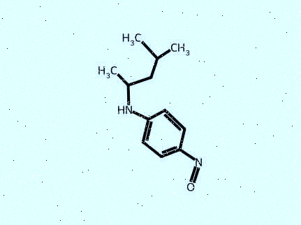 CC(C)CC(C)Nc1ccc(N=O)cc1